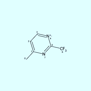 CC1=[C][C]=[N+]C(C(F)(F)F)=N1